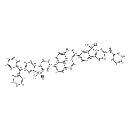 CCC1(CC)c2cc(Nc3ccccc3)ccc2-c2ccc(-c3ccc4ccc5c(-c6ccc7c(c6)C(CC)(CC)c6cc(N(c8ccccc8)c8ccccc8)ccc6-7)ccc6ccc3c4c65)cc21